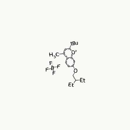 CCC(CC)COc1ccc2c(C)cc(C(C)(C)C)[o+]c2c1.F[B-](F)(F)F